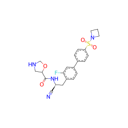 N#C[C@H](Cc1ccc(-c2ccc(S(=O)(=O)N3CCC3)cc2)cc1F)NC(=O)C1CNCO1